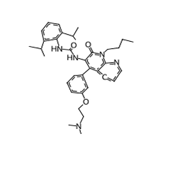 CCCCn1c(=O)c(NC(=O)Nc2c(C(C)C)cccc2C(C)C)c(-c2cccc(OCCN(C)C)c2)c2cccnc21